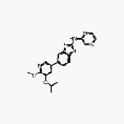 COc1ncc(-c2ccc3nc(Nc4cnccn4)sc3c2)cc1OC(C)C